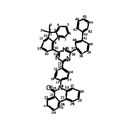 CC1(C)c2ccccc2-c2c(-c3nc(-c4ccc(-n5c(=O)c6ccccc6c6ccccc65)cc4)nc(-c4cccc(-c5ccccc5)c4)n3)cccc21